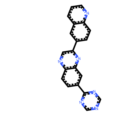 c1cnc2ccc(-c3cnc4ccc(-c5ncncn5)cc4n3)cc2c1